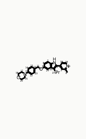 Cc1cc(-c2[nH]c3ccc(OCc4ccc(N5CCOCC5)cc4)cc3c2C(C)C)ccn1